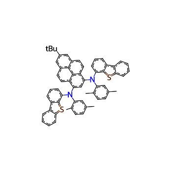 Cc1ccc(C)c(N(c2cc(N(c3cc(C)ccc3C)c3cccc4c3sc3ccccc34)c3ccc4cc(C(C)(C)C)cc5ccc2c3c54)c2cccc3c2sc2ccccc23)c1